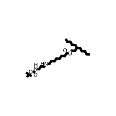 CCCCCC(CCCCC)CCOC(=O)CCCCCCCNCCCNC(=O)OC(C)(C)C